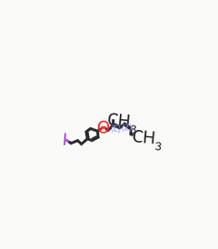 CC/C=C\C=C(/C)COC1C=CC(CCCI)=CC1